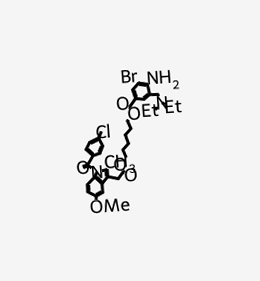 CCN(CC)Cc1cc(C(=O)OCCCCCCOC(=O)Cc2c(C)n(C(=O)c3ccc(Cl)cc3)c3ccc(OC)cc23)cc(Br)c1N